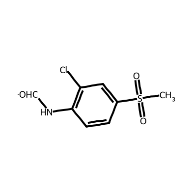 CS(=O)(=O)c1ccc(N[C]=O)c(Cl)c1